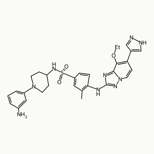 CCOc1c(-c2cn[nH]c2)ccn2nc(Nc3ccc(S(=O)(=O)NC4CCN(c5cccc(N)c5)CC4)cc3C)nc12